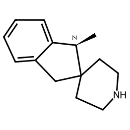 C[C@@H]1c2ccccc2CC12CCNCC2